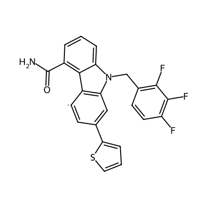 NC(=O)c1cccc2c1c1[c]cc(-c3cccs3)cc1n2Cc1ccc(F)c(F)c1F